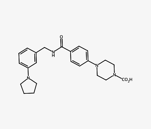 O=C(NCc1cccc(N2CCCC2)c1)c1ccc(N2CCN(C(=O)O)CC2)cc1